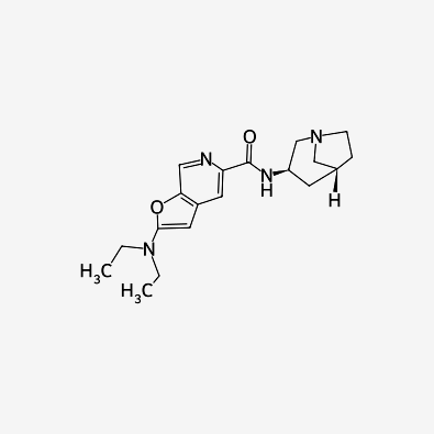 CCN(CC)c1cc2cc(C(=O)N[C@@H]3C[C@H]4CCN(C4)C3)ncc2o1